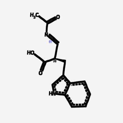 CC(=O)/N=C/[C@@H](Cc1c[nH]c2ccccc12)C(=O)O